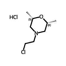 C[C@@H]1CN(CCCl)C[C@H](C)O1.Cl